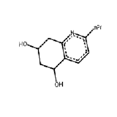 CCCc1ccc2c(n1)CC(O)CC2O